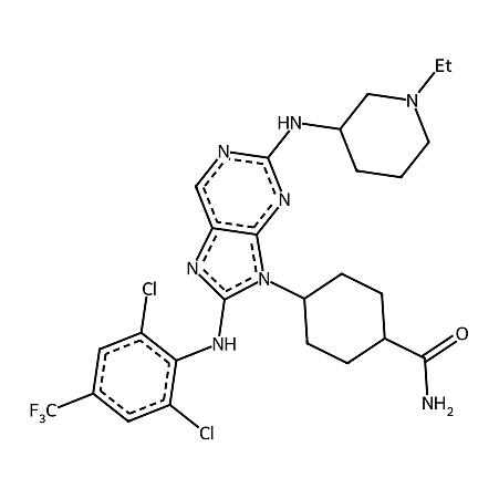 CCN1CCCC(Nc2ncc3nc(Nc4c(Cl)cc(C(F)(F)F)cc4Cl)n(C4CCC(C(N)=O)CC4)c3n2)C1